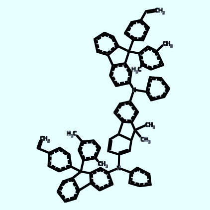 C=Cc1ccc(C2(c3cc(C)ccc3C)c3ccccc3-c3ccc(N(C4=CC5C(C=C4)c4ccc(N(c6ccccc6)c6ccc7c(c6)C(c6ccc(C=C)cc6)(c6cc(C)ccc6C)c6ccccc6-7)cc4C5(C)C)c4ccccc4)cc32)cc1